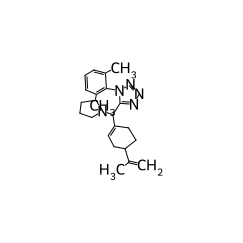 C=C(C)C1CC=C(C(c2nnnn2-c2c(C)cccc2C)N2CCCC2)CC1